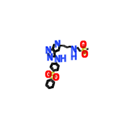 CS(=O)(=O)CCNCCCc1cc2c(Nc3ccc(S(=O)(=O)c4ccccc4)cc3)ncnc2cn1